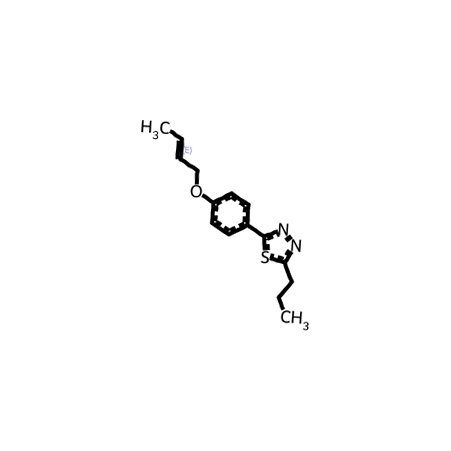 C/C=C/COc1ccc(-c2nnc(CCC)s2)cc1